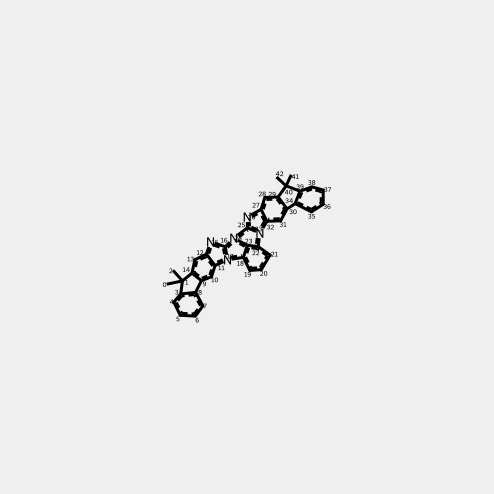 CC1(C)c2ccccc2-c2cc3c(cc21)nc1n3c2cccc3c2n1c1nc2cc4c(cc2n31)-c1ccccc1C4(C)C